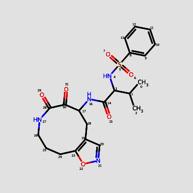 CC(C)C(NS(=O)(=O)c1ccccc1)C(=O)NC1Cc2cnoc2CCCNC(=O)C1=O